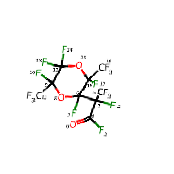 O=C(F)C(F)(C(F)(F)F)C1(F)OC(F)(C(F)(F)F)C(F)(F)OC1(F)C(F)(F)F